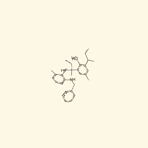 CCC(C)c1cc(C)cc(C(C)(CC)Pc2c(C)cccc2NCc2ccccc2)c1O